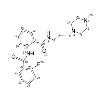 CN1CCN(CCCNC(=O)c2ccccc2NC(=O)c2ccccc2F)CC1